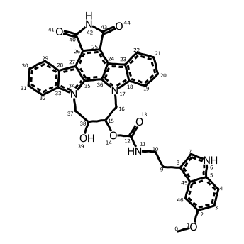 COc1ccc2[nH]cc(CCNC(=O)OC3Cn4c5ccccc5c5c6c(c7c8ccccc8n(c7c54)CC3O)C(=O)NC6=O)c2c1